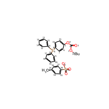 CC(C)(C)OC(=O)Oc1ccc([S+](c2ccccc2)c2ccccc2)cc1.Cc1ccc(S(=O)(=O)[O-])cc1